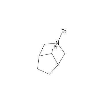 CCN1CC2CCC(C1)C2C(C)C